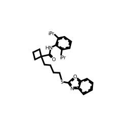 CC(C)c1cccc(C(C)C)c1NC(=O)C1(CCCCSc2nc3ccccc3o2)CCC1